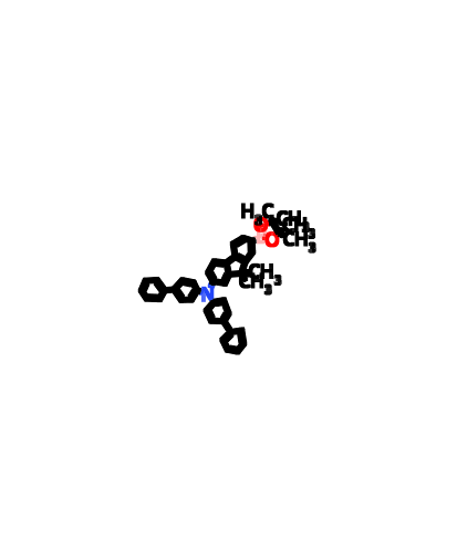 CC1(C)c2cc(B3OC(C)(C)C(C)(C)O3)ccc2-c2ccc(N(c3ccc(-c4ccccc4)cc3)c3ccc(-c4ccccc4)cc3)cc21